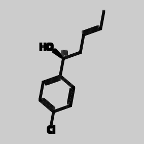 CC=CC[C@H](O)c1ccc(Cl)cc1